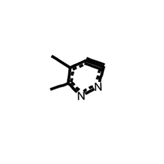 Cc1c#cnnc1C